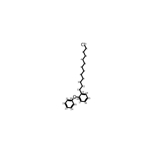 ClCCCCCCCCCCCCc1ccccc1Oc1ccccc1